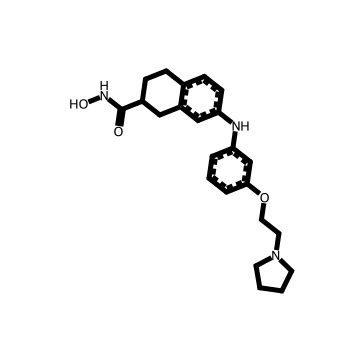 O=C(NO)C1CCc2ccc(Nc3cccc(OCCN4CCCC4)c3)cc2C1